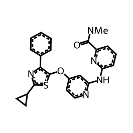 CNC(=O)c1cccc(Nc2cc(Oc3sc(C4CC4)nc3-c3ccccc3)ccn2)n1